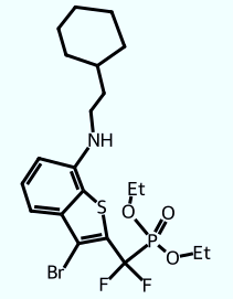 CCOP(=O)(OCC)C(F)(F)c1sc2c(NCCC3CCCCC3)cccc2c1Br